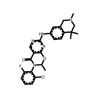 CC1Oc2nc(Nc3ccc4c(c3)CN(C)CC4(C)C)ncc2C(=O)N1c1c(F)cccc1Cl